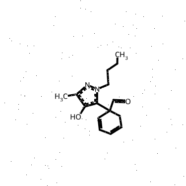 CCCCn1nc(C)c(O)c1C1(C=O)C=CC=CC1